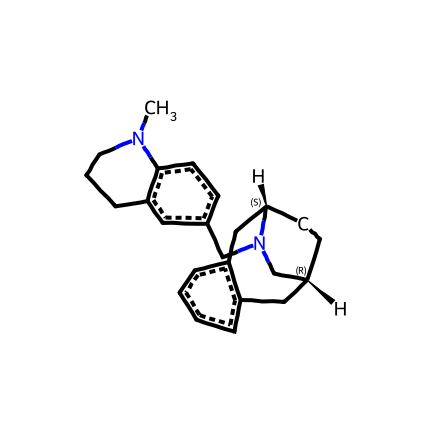 CN1CCCc2cc(CN3C[C@@H]4CC[C@H]3Cc3ccccc3C4)ccc21